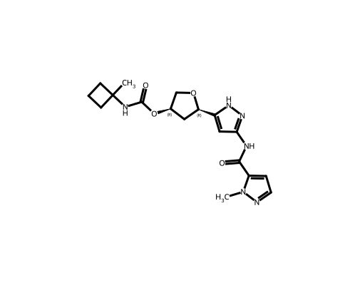 Cn1nccc1C(=O)Nc1cc([C@H]2C[C@@H](OC(=O)NC3(C)CCC3)CO2)[nH]n1